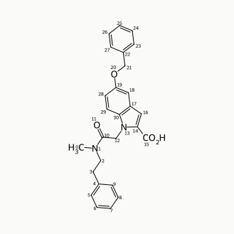 CN(CCc1ccccc1)C(=O)Cn1c(C(=O)O)cc2cc(OCc3ccccc3)ccc21